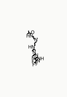 CC(C)C(=O)NCCN(C)CCCNC1CN(c2cnc3c(C(F)(F)F)n[nH]c3n2)C1